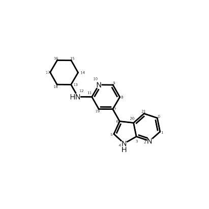 c1cnc2[nH]cc(-c3ccnc(NC4CCCCC4)c3)c2c1